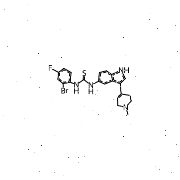 CN1CC=C(c2c[nH]c3ccc(NC(=S)Nc4ccc(F)cc4Br)cc23)CC1